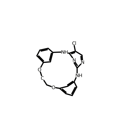 Clc1cnc2nc1Nc1cccc(c1)OCCOc1cccc(c1)N2